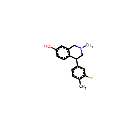 Cc1ccc(C2CN(C)Cc3cc(O)ccc32)cc1F